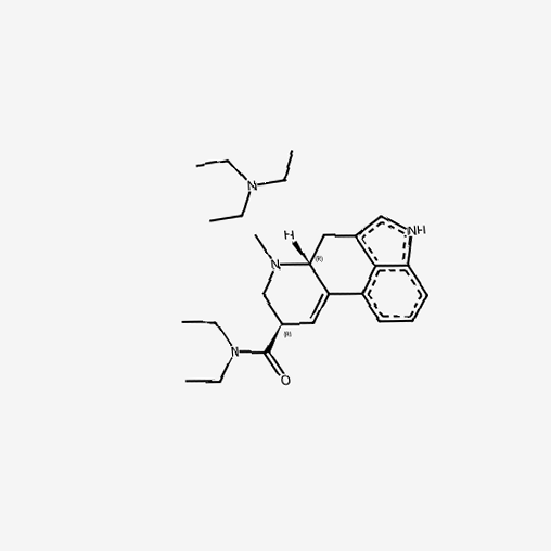 CCN(CC)C(=O)[C@@H]1C=C2c3cccc4[nH]cc(c34)C[C@H]2N(C)C1.CCN(CC)CC